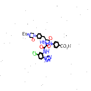 CCN1CCN(c2ccc(CC(NC(=O)C(=O)Nc3cc(Cl)ccc3-n3cnnn3)C(=O)Nc3ccc(C(=O)O)cc3)cc2)C(=O)C1